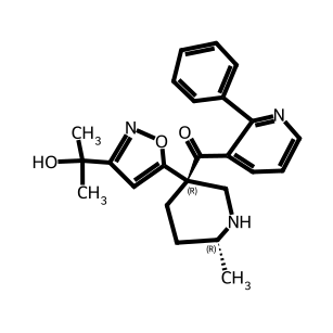 C[C@@H]1CC[C@](C(=O)c2cccnc2-c2ccccc2)(c2cc(C(C)(C)O)no2)CN1